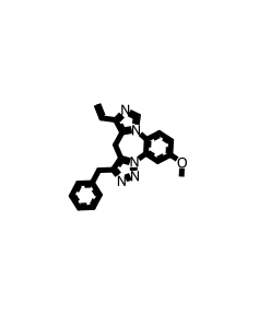 C=Cc1ncn2c1Cc1c(Cc3ccccc3)nnn1-c1cc(OC)ccc1-2